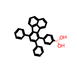 OB(O)c1ccc(-c2c(-c3ccccc3)cc(-c3ccccc3)c3c2-c2cccc4cccc-3c24)cc1